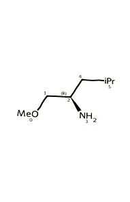 COC[C@H](N)CC(C)C